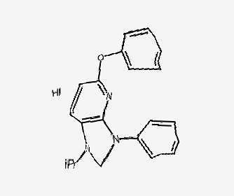 CC(C)N1CN(c2ccccc2)c2nc(Oc3ccccc3)ccc21.I